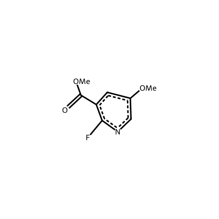 COC(=O)c1cc(OC)cnc1F